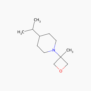 CC(C)C1CCN(C2(C)COC2)CC1